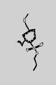 [CH]=Cc1cc(OC)[c]cc1S(=O)(=O)OCCC